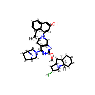 C#Cc1cccc2cc(O)cc(N3CCc4c(nc(OC[C@@]56C[C@H](F)CN5[C@@H]5CCCC[C@@H]5C6)nc4N4CC5CCC(C4)N5)C3)c12